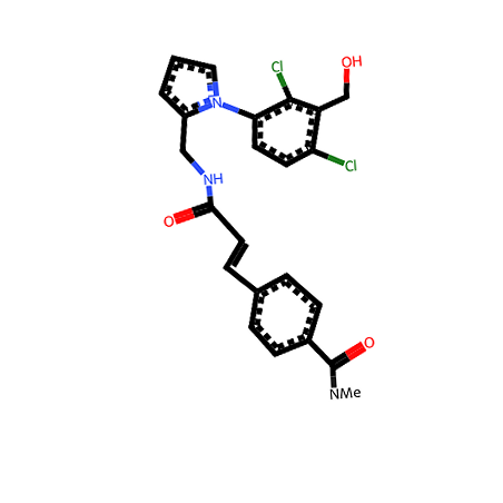 CNC(=O)c1ccc(C=CC(=O)NCc2cccn2-c2ccc(Cl)c(CO)c2Cl)cc1